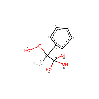 O=C(O)C(OO)(c1ccccc1)C(O)(O)O